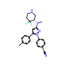 Cc1ccc(-c2cc(N(C)[C@H]3CNCCC3(F)F)nn2-c2ccc(C#N)cc2)cc1